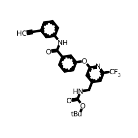 C#Cc1cccc(NC(=O)c2cccc(Oc3cc(CNC(=O)OC(C)(C)C)cc(C(F)(F)F)n3)c2)c1